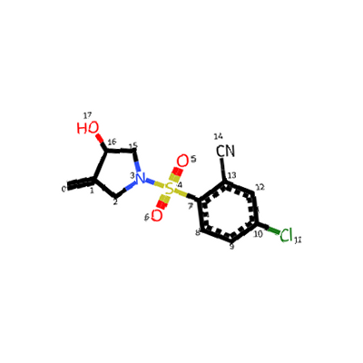 C=C1CN(S(=O)(=O)c2ccc(Cl)cc2C#N)CC1O